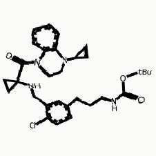 CC(C)(C)OC(=O)NCCCc1ccc(Cl)c(CNC2(C(=O)N3CCN(C4CC4)c4ccccc43)CC2)c1